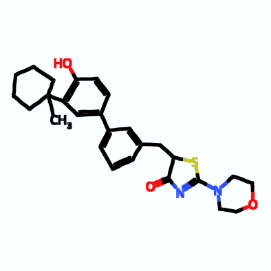 CC1(c2cc(-c3cccc(CC4SC(N5CCOCC5)=NC4=O)c3)ccc2O)CCCCC1